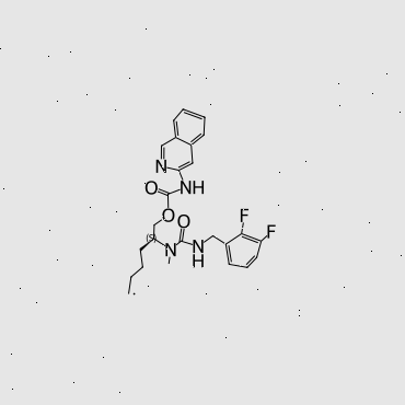 [CH2]CCC[C@@H](COC(=O)Nc1cc2ccccc2cn1)N(C)C(=O)NCc1cccc(F)c1F